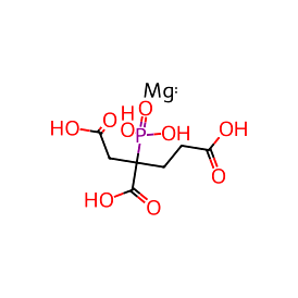 O=C(O)CCC(CC(=O)O)(C(=O)O)P(=O)(O)O.[Mg]